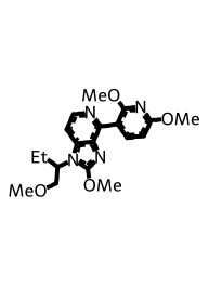 CCC(COC)n1c(OC)nc2c(-c3ccc(OC)nc3OC)nccc21